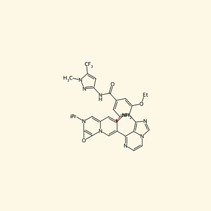 CCOc1cc(C(=O)Nc2cc(C(F)(F)F)n(C)n2)cc(F)c1-c1ncn2ccnc(-c3cn4c5oc=5n(C(C)C)cc4cc3N)c12